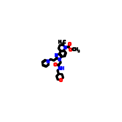 COC(=O)N1c2ccc3c(nc(CCN4C=CC=CC4)n3CC(=O)NCC3CCOCC3)c2CC[C@@H]1C